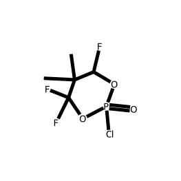 CC1(C)C(F)OP(=O)(Cl)OC1(F)F